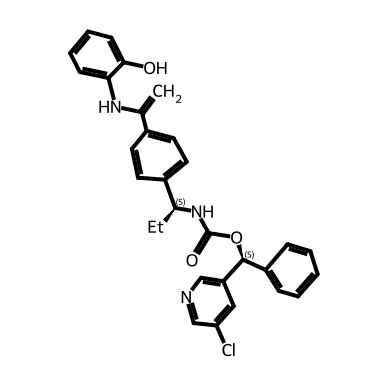 C=C(Nc1ccccc1O)c1ccc([C@H](CC)NC(=O)O[C@@H](c2ccccc2)c2cncc(Cl)c2)cc1